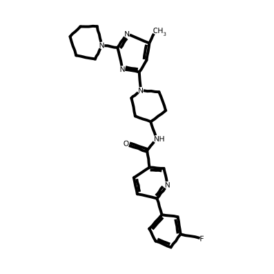 Cc1cc(N2CCC(NC(=O)c3ccc(-c4cccc(F)c4)nc3)CC2)nc(N2CCCCC2)n1